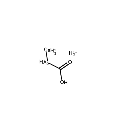 O=C(O)[AsH][GeH2+].[SH-]